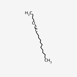 CCCCCCCCCCCCCCCOCCCC